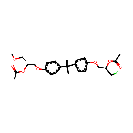 COC[C@H](COc1ccc(C(C)(C)c2ccc(OC[C@H](CCl)OC(C)=O)cc2)cc1)OC(C)=O